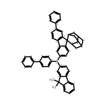 CC1(C)c2ccccc2-c2ccc(N(c3ccc(-c4ccccc4)cc3)c3ccc4c(c3)-c3ccc(-c5ccccc5)cc3C43C4CC5CC(C4)CC3C5)cc21